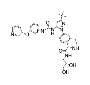 CC(C)(C)c1cc(NC(=O)Nc2cccc(Oc3cccnc3)c2)n(-c2ccc3c(c2)CCNC3C(=O)NCC(O)CO)n1